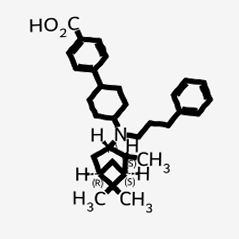 C[C@@H]1[C@@H](N(CCCc2ccccc2)C2CCC(c3ccc(C(=O)O)cc3)CC2)C[C@H]2C[C@@H]1C2(C)C